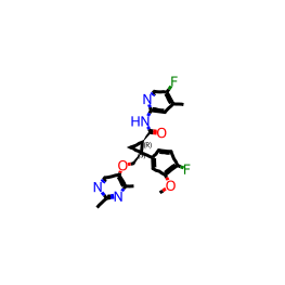 COc1cc([C@]2(COc3cnc(C)nc3C)C[C@H]2C(=O)Nc2cc(C)c(F)cn2)ccc1F